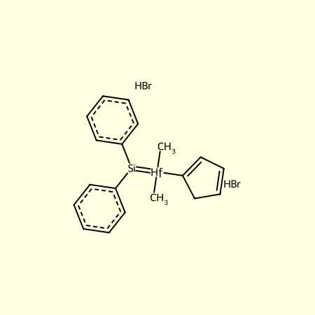 Br.Br.[CH3][Hf]([CH3])([C]1=CC=CC1)=[Si](c1ccccc1)c1ccccc1